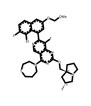 CCc1c(F)ccc2cc(OCOC)cc(-c3ncc4c(N5CCCSCC5)nc(OC[C@@]56CCCN5C[C@H](F)C6)nc4c3F)c12